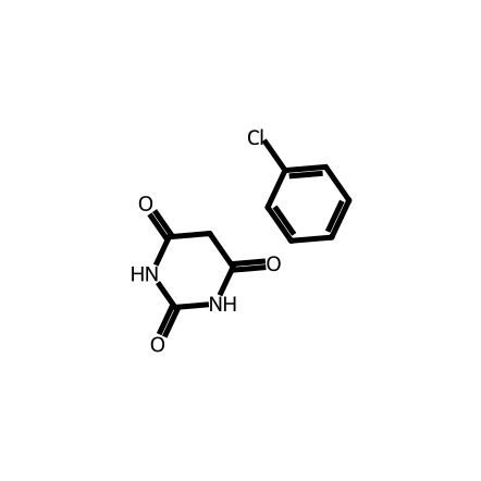 Clc1ccccc1.O=C1CC(=O)NC(=O)N1